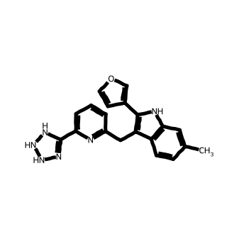 Cc1ccc2c(Cc3cccc(C4=NNNN4)n3)c(-c3ccoc3)[nH]c2c1